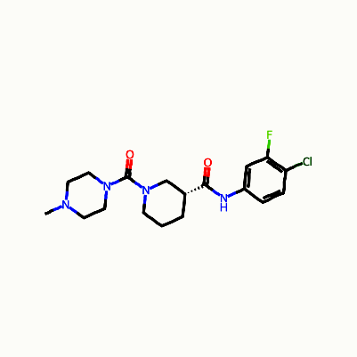 CN1CCN(C(=O)N2CCC[C@@H](C(=O)Nc3ccc(Cl)c(F)c3)C2)CC1